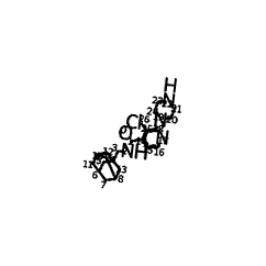 O=C(NCC12CC3CC(CC(C3)C1)C2)c1ccnc(N2CCNCC2)c1Cl